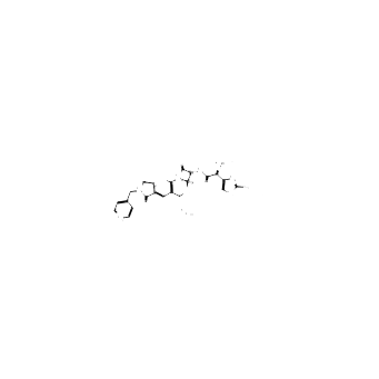 Nc1nc(C(=NO)C(=O)N[C@@H]2C(=O)N3C(C(=O)O)=C(C=C4CCN(Cc5ccncc5)C4=O)CS[C@H]23)cs1.[Na]